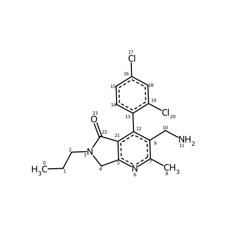 CCCN1Cc2nc(C)c(CN)c(-c3ccc(Cl)cc3Cl)c2C1=O